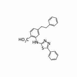 O=C(O)c1ccc(CCc2ccccc2)cc1Nc1nnc(-c2ccccc2)s1